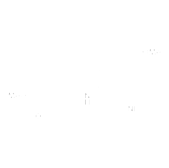 COC(=O)/C=C/CNC(=O)c1c[nH]c2ccc(OC)cc12